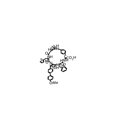 COc1ccc(-c2ccc(C[C@@H]3NC(=O)[C@@H](Cc4cccs4)NC(=O)C[C@@H](O)C(=O)Nc4ccc(cc4)C[C@@H](C(=O)O)NC(=O)[C@@H](Cc4ccccc4)NC3=O)cc2)cc1